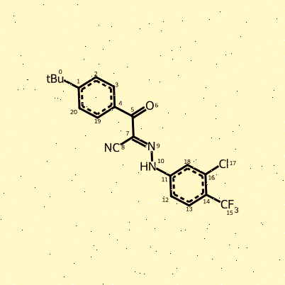 CC(C)(C)c1ccc(C(=O)/C(C#N)=N/Nc2ccc(C(F)(F)F)c(Cl)c2)cc1